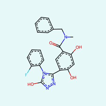 CN(Cc1ccccc1)C(=O)c1cc(-c2nnc(O)n2-c2ccccc2F)c(O)cc1O